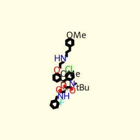 COc1ccc(CCCNCCCOc2cccc([C@@H]3O[C@@H](CC(=O)NCc4ccccc4F)C(=O)N(CC(C)(C)C)c4ccc(Cl)cc43)c2OC)cc1